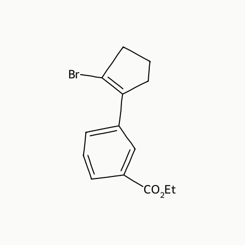 CCOC(=O)c1cccc(C2=C(Br)CCC2)c1